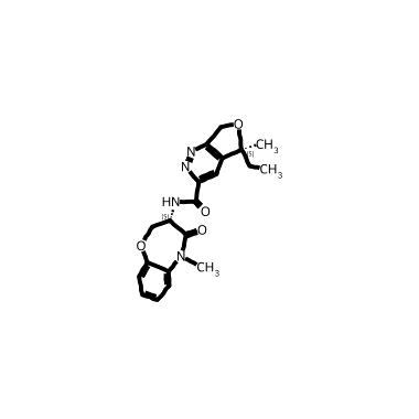 CC[C@]1(C)OCc2nnc(C(=O)N[C@H]3COc4ccccc4N(C)C3=O)cc21